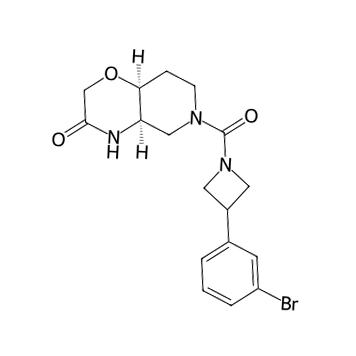 O=C1CO[C@H]2CCN(C(=O)N3CC(c4cccc(Br)c4)C3)C[C@H]2N1